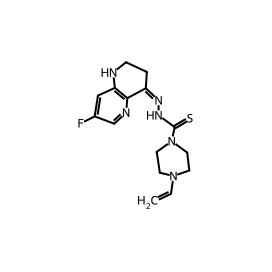 C=CN1CCN(C(=S)N/N=C2/CCNc3cc(F)cnc32)CC1